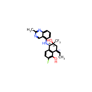 C/C=C1/C[C@](O)(C(F)(F)F)[C@H](Nc2cccc3nc(C)ncc23)c2ccc(F)c(O)c21